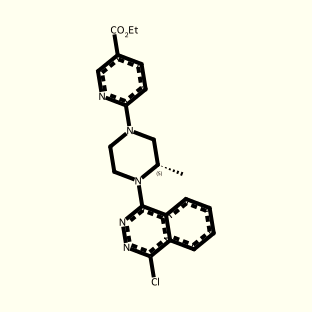 CCOC(=O)c1ccc(N2CCN(c3nnc(Cl)c4ccccc34)[C@@H](C)C2)nc1